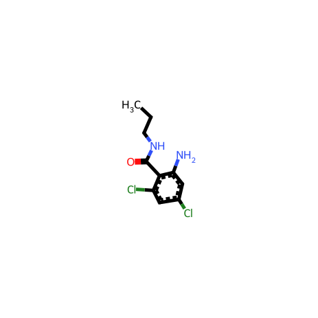 CCCNC(=O)c1c(N)cc(Cl)cc1Cl